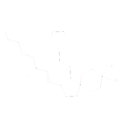 CCCCCC(=O)C=CC1CCC2(OCC(C)(C)CO2)C1CCC1SCCS1